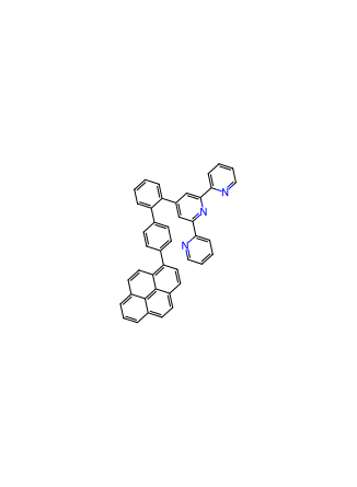 c1ccc(-c2cc(-c3ccccc3-c3ccc(-c4ccc5ccc6cccc7ccc4c5c67)cc3)cc(-c3ccccn3)n2)nc1